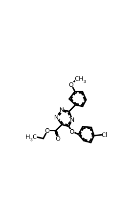 CCOC(=O)c1nnc(-c2cccc(OC)c2)nc1Oc1ccc(Cl)cc1